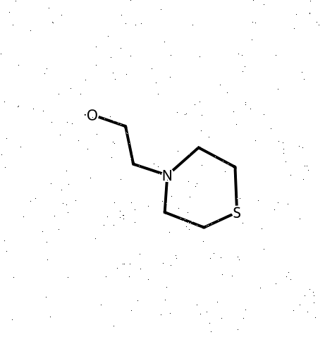 [O]CCN1CCSCC1